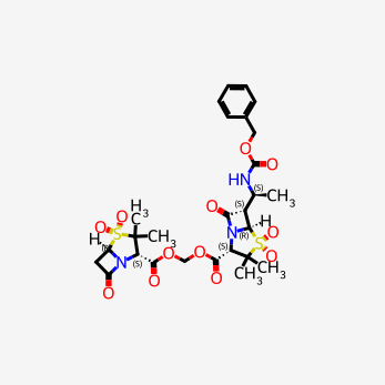 C[C@H](NC(=O)OCc1ccccc1)[C@H]1C(=O)N2[C@@H](C(=O)OCOC(=O)[C@@H]3N4C(=O)C[C@H]4S(=O)(=O)C3(C)C)C(C)(C)S(=O)(=O)[C@H]12